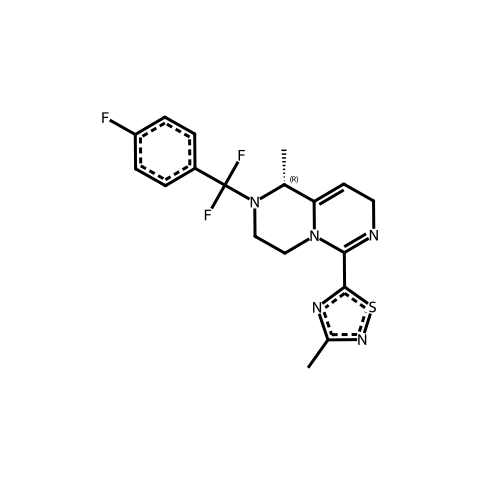 Cc1nsc(C2=NCC=C3[C@@H](C)N(C(F)(F)c4ccc(F)cc4)CCN32)n1